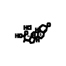 CC(C(=O)O)=C1CC[C@H]2[C@@H]3CCC4=CC(=O)CC[C@]4(C)[C@H]3CC[C@]12C.Cl